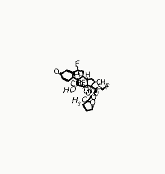 C[C@@H]1C[C@H]2[C@@H]3C[C@H](F)C4=CC(=O)C=C[C@]4(C)[C@@]3(F)[C@@H](O)C[C@]2(C)[C@@]1(OC(=O)[C@]1(C)CCCO1)C(=O)SCF